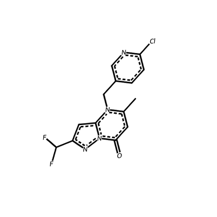 Cc1cc(=O)n2nc(C(F)F)cc2n1Cc1ccc(Cl)nc1